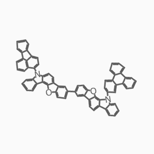 c1ccc2c(c1)-c1cccc3c(-n4c5ccccc5c5c6oc7ccc(-c8ccc9oc%10c(ccc%11c%12ccccc%12n(-c%12ccc%13c%14ccccc%14c%14ccccc%14c%13c%12)c%11%10)c9c8)cc7c6ccc54)ccc-2c13